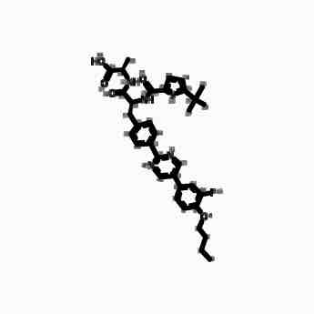 CCCCOc1ccc(-c2cnc(-c3ccc(C[C@H](NC(=O)c4ccc(C(C)(C)C)s4)C(=O)N[C@H](C)C(=O)O)cc3)nc2)cc1F